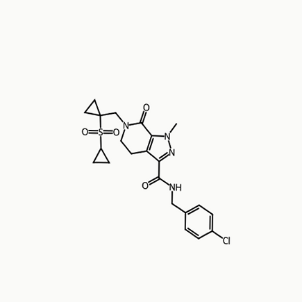 Cn1nc(C(=O)NCc2ccc(Cl)cc2)c2c1C(=O)N(CC1(S(=O)(=O)C3CC3)CC1)CC2